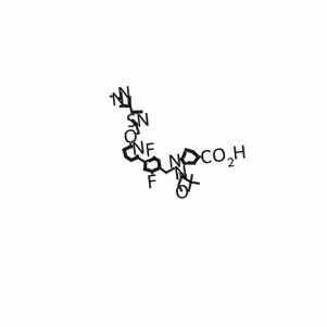 Cn1cc(-c2cnc(COc3cccc(-c4cc(F)c(Cc5nc6ccc(C(=O)O)cc6n5[C@H]5COCC5(C)C)cc4F)n3)s2)cn1